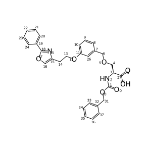 O=C(N[C@@H](COCc1cccc(OCCc2coc(-c3ccccc3)n2)c1)C(=O)O)OCc1ccccc1